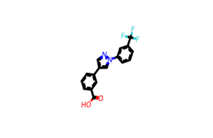 O=C(O)c1cccc(-c2cnn(-c3cccc(C(F)(F)F)c3)c2)c1